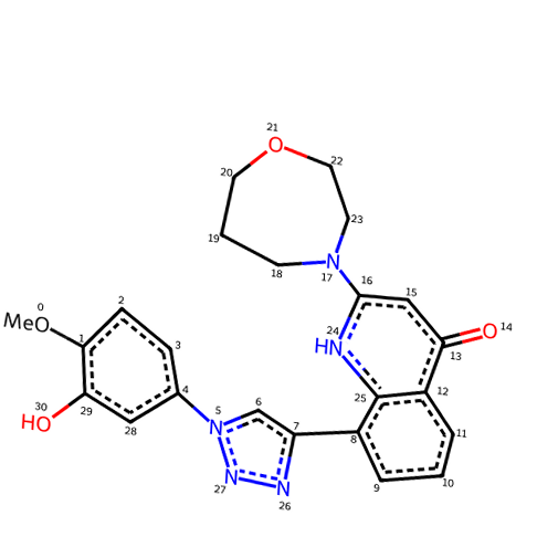 COc1ccc(-n2cc(-c3cccc4c(=O)cc(N5CCCOCC5)[nH]c34)nn2)cc1O